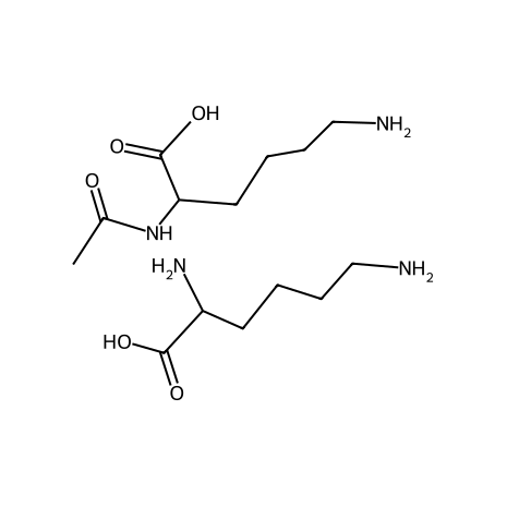 CC(=O)NC(CCCCN)C(=O)O.NCCCCC(N)C(=O)O